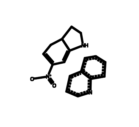 O=[N+]([O-])C1=CCC2CCNC2=C1.c1ccc2ncccc2c1